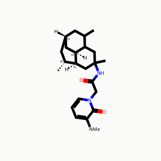 CNc1cccn(CC(=O)NC2(C)CC3C(C)C[C@H]4C[C@@H](C)[C@H](C2)[C@H]3C4)c1=O